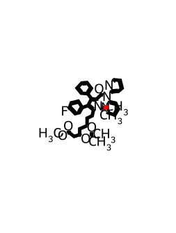 COC(=O)CC1CC(CCc2c(-c3ccc(F)cc3)c(-c3ccccc3)c(C(=O)N(c3ccccn3)c3ccccn3)n2C(C)C)OC(C)(C)O1